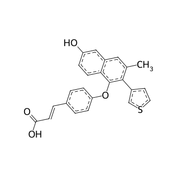 Cc1cc2cc(O)ccc2c(Oc2ccc(/C=C/C(=O)O)cc2)c1-c1ccsc1